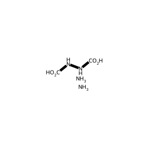 N.N.O=C(O)NNC(=O)O